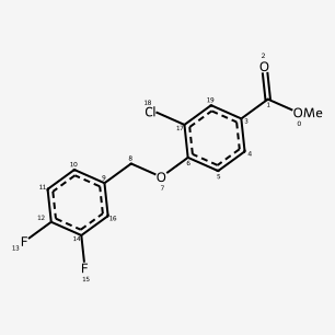 COC(=O)c1ccc(OCc2ccc(F)c(F)c2)c(Cl)c1